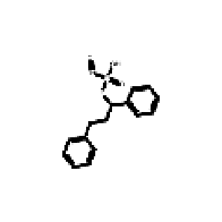 O=NP(=O)(O)SC(CCc1ccccc1)c1ccccc1